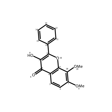 COc1ccc2c(=O)c(O)c(-c3ccccc3)oc2c1OC